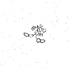 CC(C)(C)OC(=O)N1CCCCC1C(=O)NC(Cc1ccc2ccccc2c1)C(=O)N1CCc2ccccc2C1